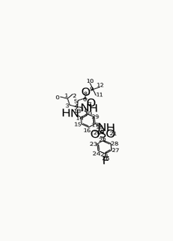 CC(C)CC1(CC(=O)OC(C)(C)C)Nc2ccc(NS(=O)(=O)c3ccc(F)cc3)cc2N1